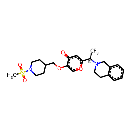 CS(=O)(=O)N1CCC(COc2coc([C@H](N3CCc4ccccc4C3)C(F)(F)F)cc2=O)CC1